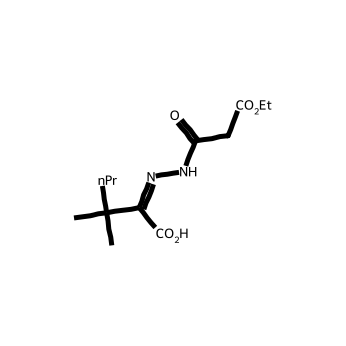 CCCC(C)(C)C(=NNC(=O)CC(=O)OCC)C(=O)O